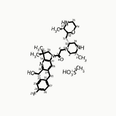 CS(=O)(=O)O.C[C@@H]1CN(CC(=O)N2CC(C)(C)c3nc(CO)c(Cc4ccc(F)cc4)cc32)[C@H](CC2OCCN[C@@H]2C)CN1